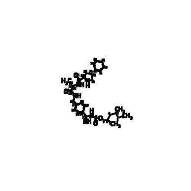 CCC(C)CC(C)COC(=O)NC(=N)c1ccc(CNC(=O)[C@H](C)NC(=O)[C@H]2C[C@H](c3ccccc3)CN2)cc1